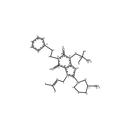 CC(C)=CCn1c(N2CCCC(N)C2)nc2c1c(=O)n(CCc1ccccc1)c(=O)n2CC(C)(C)N